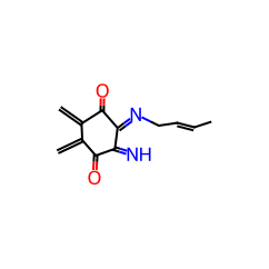 C=c1c(=C)c(=O)/c(=N/C/C=C/C)c(=N)c1=O